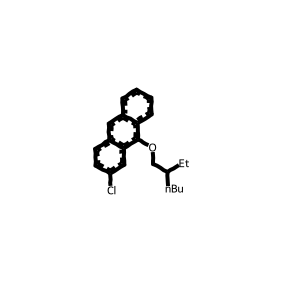 CCCCC(CC)COc1c2ccccc2cc2ccc(Cl)cc12